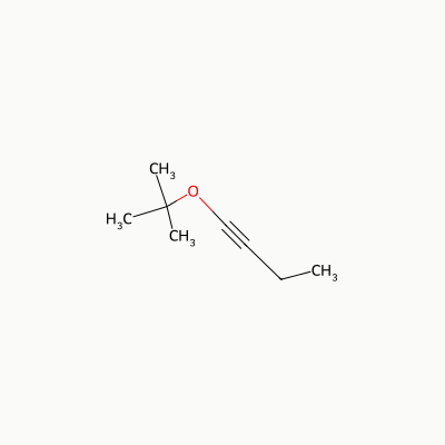 CCC#COC(C)(C)C